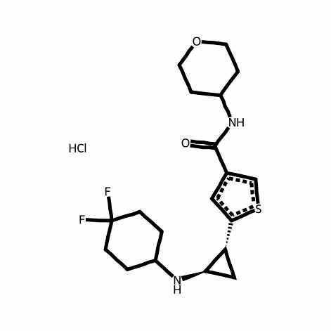 Cl.O=C(NC1CCOCC1)c1csc([C@@H]2C[C@H]2NC2CCC(F)(F)CC2)c1